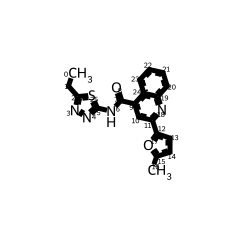 CCc1nnc(NC(=O)c2cc(-c3ccc(C)o3)nc3ccccc23)s1